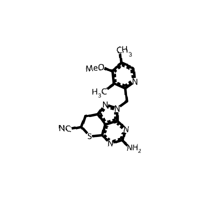 COc1c(C)cnc(Cn2nc3c4c(nc(N)nc42)SC(C#N)C3)c1C